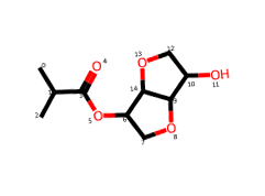 CC(C)C(=O)OC1COC2C(O)COC12